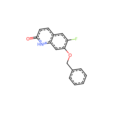 O=c1ccc2cc(F)c(OCc3ccccc3)cc2[nH]1